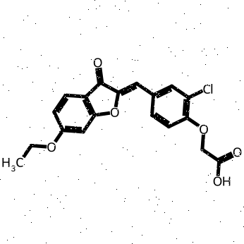 CCOc1ccc2c(c1)OC(=Cc1ccc(OCC(=O)O)c(Cl)c1)C2=O